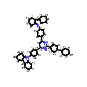 C1=C(c2ccc(-n3c4ccccc4c4ccccc43)cc2)N=C(c2ccc(-c3ccccc3)cc2)NC1c1ccc(-n2c3ccccc3c3ccccc32)cc1